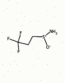 N[S+]([O-])CCC(F)(F)F